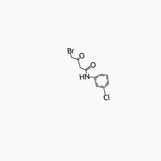 O=C(CBr)CC(=O)Nc1cccc(Cl)c1